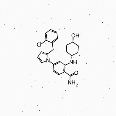 NC(=O)c1ccc(-n2cccc2Cc2ccccc2Cl)cc1N[C@H]1CC[C@H](O)CC1